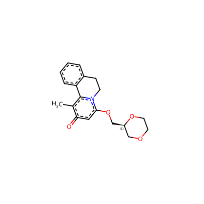 Cc1c2n(c(OC[C@@H]3COCCO3)cc1=O)CCc1ccccc1-2